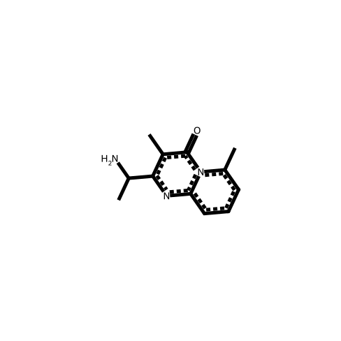 Cc1c(C(C)N)nc2cccc(C)n2c1=O